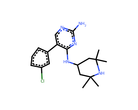 CC1(C)CC(Nc2nc(N)ncc2-c2cccc(Cl)c2)CC(C)(C)N1